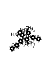 CC(C)(C)c1ccc2c(c1)B1c3cc4c(cc3N(c3ccc(-c5ccc6c(c5)oc5ccccc56)cc3)c3cc(C(C)(C)C)cc(c31)N2c1ccc(-c2ccccc2)cc1)C(C)(C)CCC4(C)C